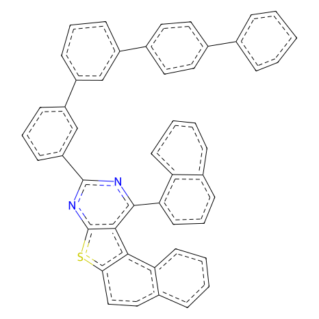 c1ccc(-c2ccc(-c3cccc(-c4cccc(-c5nc(-c6cccc7ccccc67)c6c(n5)sc5ccc7ccccc7c56)c4)c3)cc2)cc1